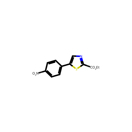 CCOC(=O)c1ncc(-c2ccc([N+](=O)[O-])cc2)s1